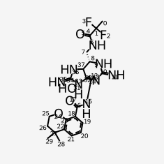 CC(F)(F)C(=O)NC[C@@H]1NC(=N)N2CC(NC(=O)c3cccc4c3OCCC4(C)C)[C@@H](O)C23NC(=N)NC13